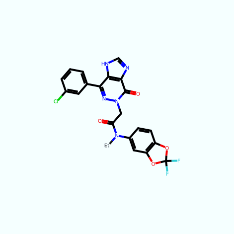 CCN(C(=O)Cn1nc(-c2cccc(Cl)c2)c2[nH]cnc2c1=O)c1ccc2c(c1)OC(F)(F)O2